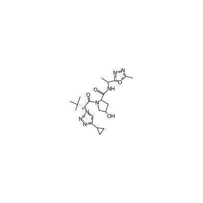 Cc1nnc(C(C)NC(=O)C2CC(O)CN2C(=O)[C@H](n2cc(C3CC3)nn2)C(C)(C)C)o1